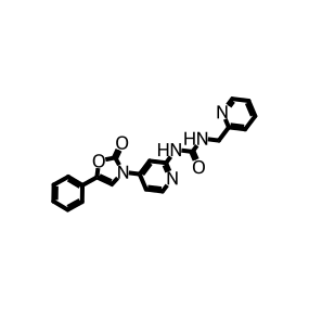 O=C(NCc1ccccn1)Nc1cc(-n2cc(-c3ccccc3)oc2=O)ccn1